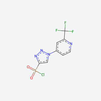 O=S(=O)(Cl)c1cn(-c2ccnc(C(F)(F)F)c2)nn1